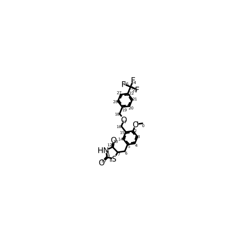 COc1ccc(CC2SC(=O)NC2=O)cc1COCc1ccc(C(F)(F)F)cc1